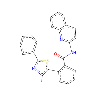 Cc1nc(-c2ccccc2)sc1-c1ccccc1C(=O)Nc1ccc2ccccc2n1